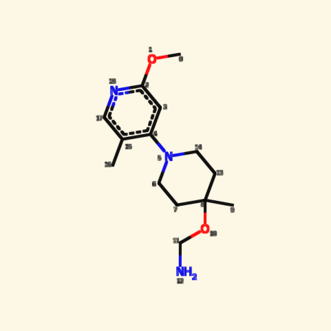 COc1cc(N2CCC(C)(OCN)CC2)c(C)cn1